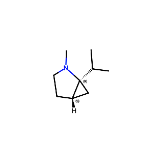 CC(C)[C@]12C[C@@H]1CCN2C